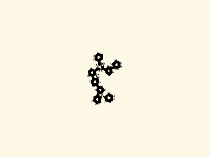 c1ccc(C2=NC(c3cccc4c3oc3cc(-c5ccc6c(c5)c5ccccc5n6-c5ccccc5)ccc34)NC(c3cccc(-c4ccccc4)c3)=N2)cc1